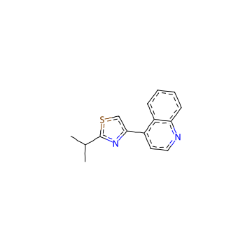 CC(C)c1nc(-c2ccnc3ccccc23)cs1